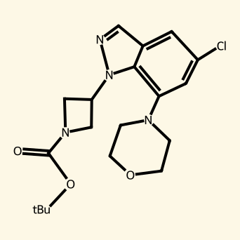 CC(C)(C)OC(=O)N1CC(n2ncc3cc(Cl)cc(N4CCOCC4)c32)C1